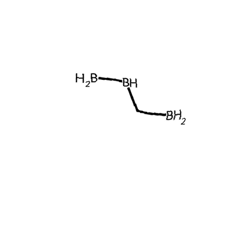 BBCB